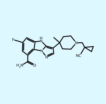 CC1(c2cnn3c2[nH]c2cc(F)cc(C(N)=O)c23)CCN(CC2(C#N)CC2)CC1